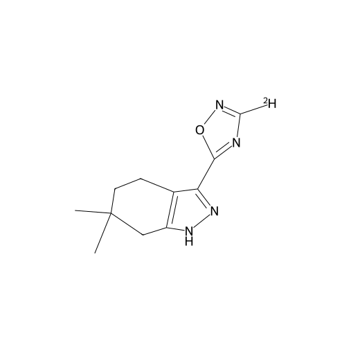 [2H]c1noc(-c2n[nH]c3c2CCC(C)(C)C3)n1